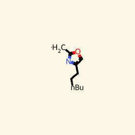 [CH2]c1nc(CCCCCC)co1